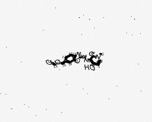 CN1CCC(O)=C(N=Nc2nc3ccc(COC=O)cc3o2)C1=O